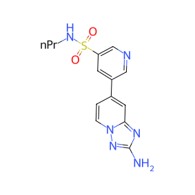 CCCNS(=O)(=O)c1cncc(-c2ccn3nc(N)nc3c2)c1